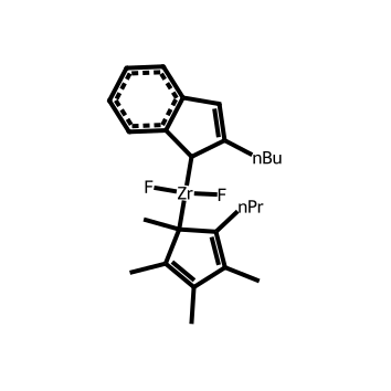 CCCCC1=Cc2ccccc2[CH]1[Zr]([F])([F])[C]1(C)C(C)=C(C)C(C)=C1CCC